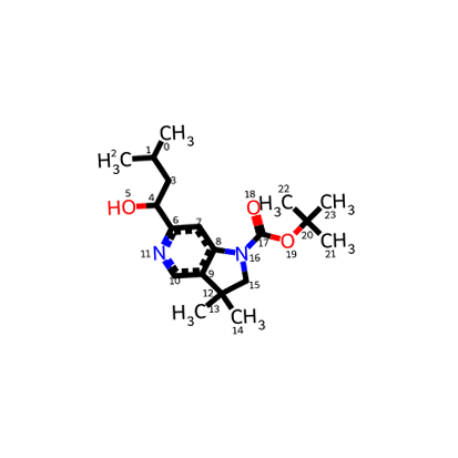 CC(C)CC(O)c1cc2c(cn1)C(C)(C)CN2C(=O)OC(C)(C)C